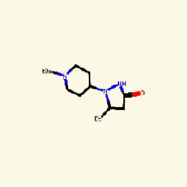 CCC1CC(=O)NN1C1CCN(C(C)(C)C)CC1